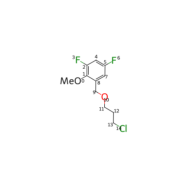 COc1c(F)cc(F)cc1COCCCCl